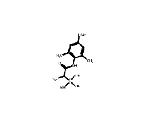 CCCC[PH](CCCC)(CCCC)C(C)C(=O)Nc1c(C)cc(OC)cc1C